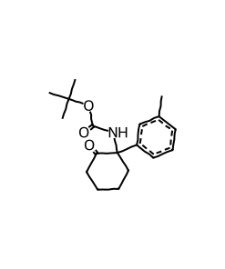 Cc1cccc(C2(NC(=O)OC(C)(C)C)CCCCC2=O)c1